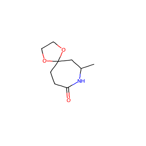 CC1CC2(CCC(=O)N1)OCCO2